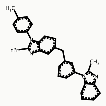 CCCc1nc2cc(Cc3cccc(-n4c(C)nc5ccccc54)c3)ccc2n1-c1ccc(C)cc1